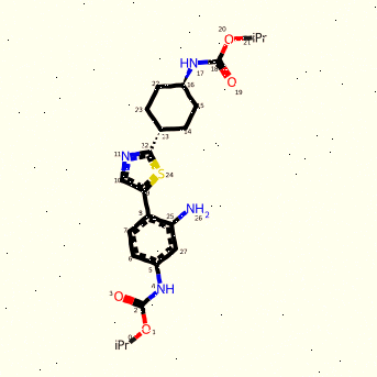 CC(C)OC(=O)Nc1ccc(-c2cnc([C@H]3CC[C@H](NC(=O)OC(C)C)CC3)s2)c(N)c1